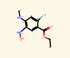 CCOC(=O)c1cc(NO)c(NC)cc1F